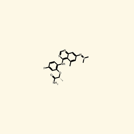 Cc1cc(N=S(C)C)cc2ncnc(Nc3ccc(F)cc3O[C@H](C)C(N)=O)c12